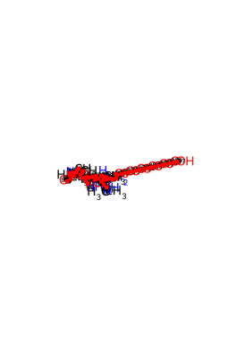 Cc1c(C2=CC=CC(=O)C2)cnn1CC1(C)CC2(C)CC(C)CC2(OCCN(CCSON)C(=O)OCc2ccc(NC(=O)[C@H](CCCNN(C)C)NC(=O)C(C[C@@H](N)Cc3ccc(OCCOCCOCCOCCOCCOCCOCCOCCOCCOCCOCCO)cc3)C(C)C3C=CC3)cc2)C1